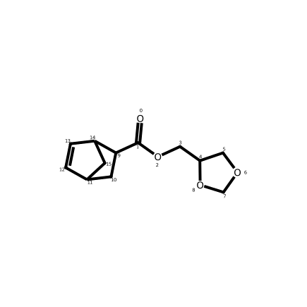 O=C(OCC1COCO1)C1CC2C=CC1C2